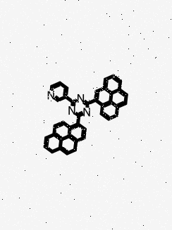 C1=CC2=CC=C3CC=CC4=C3C2C(=C1)C=C4c1nc(-c2cccnc2)nc(-c2ccc3c4c5c(ccc24)C=CCC5=CC3)n1